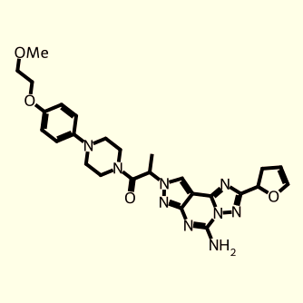 COCCOc1ccc(N2CCN(C(=O)C(C)n3cc4c(nc(N)n5nc(C6CC=CO6)nc45)n3)CC2)cc1